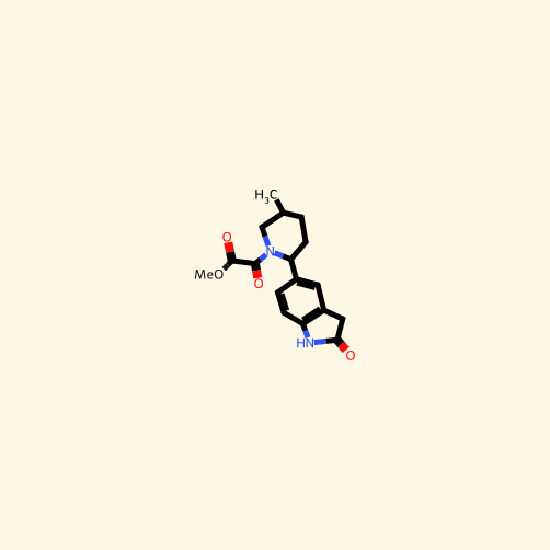 COC(=O)C(=O)N1CC(C)CCC1c1ccc2c(c1)CC(=O)N2